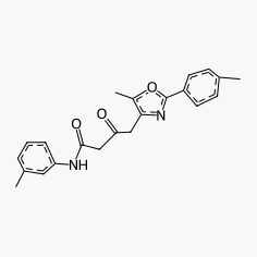 Cc1ccc(-c2nc(CC(=O)CC(=O)Nc3cccc(C)c3)c(C)o2)cc1